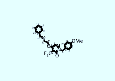 COc1ccc(Cn2ncc(OCCOCc3ccccc3)c(C(F)(F)F)c2=O)cc1